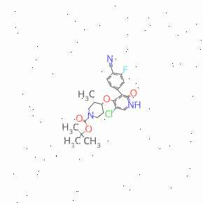 C[C@H]1CN(C(=O)OC(C)(C)C)CC[C@@H]1Oc1c(Cl)c[nH]c(=O)c1-c1ccc(C#N)c(F)c1